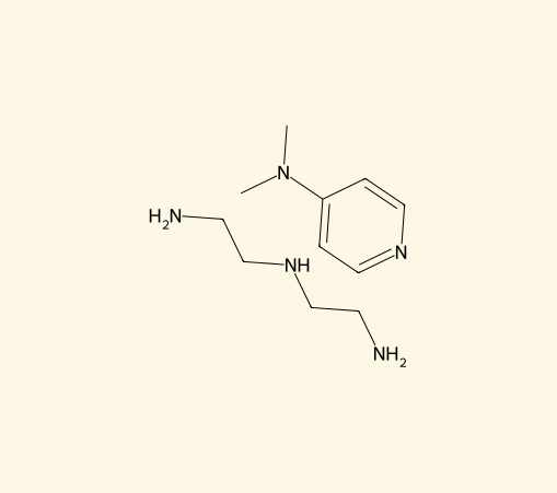 CN(C)c1ccncc1.NCCNCCN